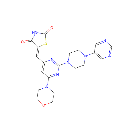 O=C1NC(=O)C(=Cc2cc(N3CCOCC3)nc(N3CCN(c4cncnc4)CC3)n2)S1